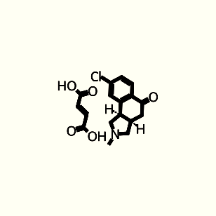 CN1C[C@@H]2CC(=O)c3ccc(Cl)cc3[C@@H]2C1.O=C(O)C=CC(=O)O